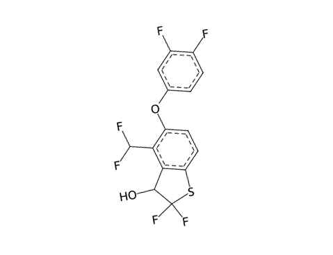 OC1c2c(ccc(Oc3ccc(F)c(F)c3)c2C(F)F)SC1(F)F